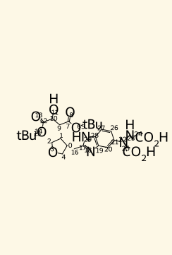 C1CCOC1.CC(C)(C)OC(=O)CC(O)C(=O)OC(C)(C)C.Cc1nc2cc(N(NC(=O)O)C(=O)O)ccc2[nH]1